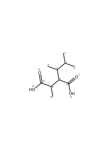 CC(C)C(C)C(C(=O)O)C(C)C(=O)O